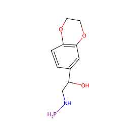 OC(CNP)c1ccc2c(c1)OCCO2